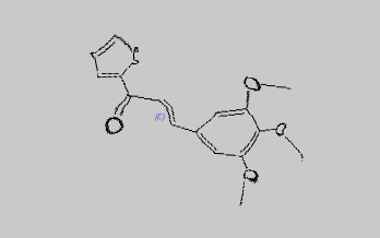 COc1cc(/C=C/C(=O)c2cccs2)cc(OC)c1OC